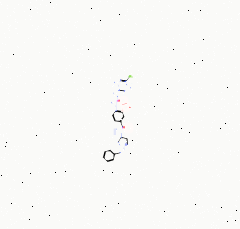 COc1cc(C(=O)NC2CCN(Cc3ccccc3)C2)ccc1NC(=O)Nc1cnc(C(F)(F)F)cn1